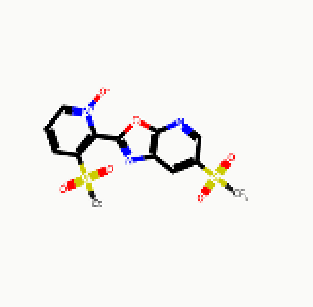 CCS(=O)(=O)c1ccc[n+]([O-])c1-c1nc2cc(S(=O)(=O)C(F)(F)F)cnc2o1